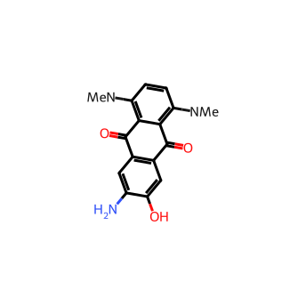 CNc1ccc(NC)c2c1C(=O)c1cc(N)c(O)cc1C2=O